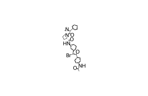 CC(=O)Nc1ccc(-c2oc3ccc(NC(=O)[C@@H]4CCCN4C(=O)C(c4ccccc4)N(C)C)cc3c2Br)cc1